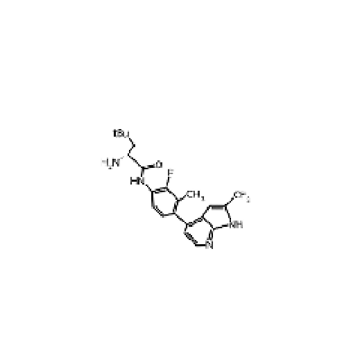 Cc1c(-c2ccnc3[nH]c(C(F)(F)F)cc23)ccc(NC(=O)[C@H](N)CC(C)(C)C)c1F